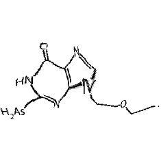 [CH2]COCn1cnc2c(=O)[nH]c([AsH2])nc21